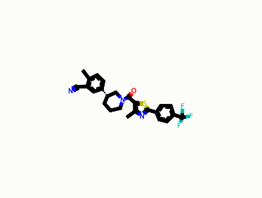 Cc1ccc([C@H]2CCCN(C(=O)c3sc(-c4ccc(C(F)(F)F)cc4)nc3C)C2)cc1C#N